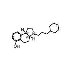 Oc1cccc2c1CC[C@@H]1[C@H]2CCN1CCCC1CCCCC1